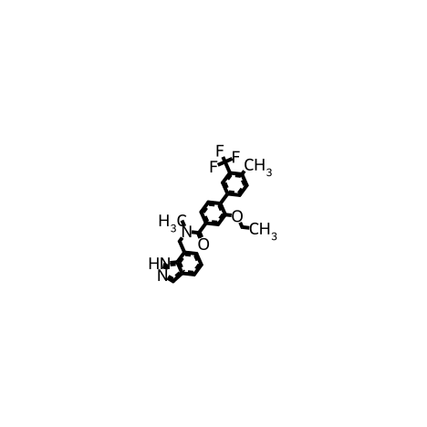 CCOc1cc(C(=O)N(C)Cc2cccc3cn[nH]c23)ccc1-c1ccc(C)c(C(F)(F)F)c1